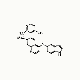 COc1cc2ncnc(Nc3ccc4[nH]ccc4c3)c2cc1-c1c(C)ccnc1C